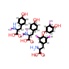 N[C@@H](Cc1cc(I)c(Oc2ccc(O)c(I)c2)c(I)c1)C(=O)O.O=C(O)C(Cc1ccc(O)cc1)N(I)I.O=C(O)C(Cc1ccc(O)cc1)NI